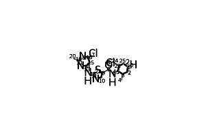 [2H]c1cc(C)c(NC(=O)c2cnc(Nc3cc(Cl)nc(C)n3)s2)c(Cl)c1